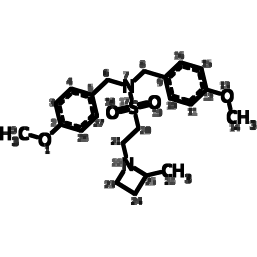 COc1ccc(CN(Cc2ccc(OC)cc2)S(=O)(=O)CCN2CCC2C)cc1